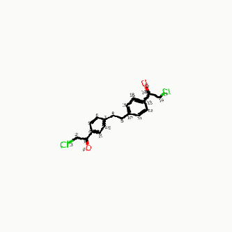 O=C(CCl)c1ccc(CCc2ccc(C(=O)CCl)cc2)cc1